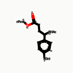 CCCCCCCCc1ccc(C(CCC(=O)OCCCCC)NC(C)=O)cc1